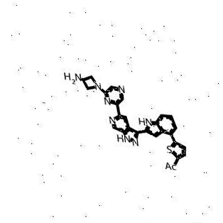 CC(=O)c1ccc(-c2cccc3[nH]c(-c4n[nH]c5cnc(-c6cncc(N7CC(N)C7)n6)cc45)cc23)s1